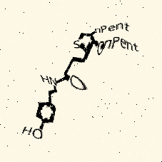 CCCCCOc1c(CCCCC)csc1C=CC(=O)NCCc1ccc(O)cc1